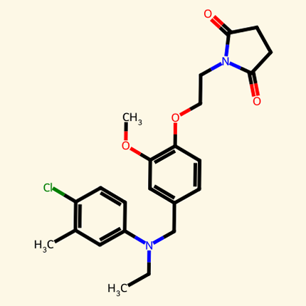 CCN(Cc1ccc(OCCN2C(=O)CCC2=O)c(OC)c1)c1ccc(Cl)c(C)c1